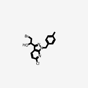 Cc1ccc(Cn2nc(C(O)CBr)c3ccc(Cl)nc32)cc1